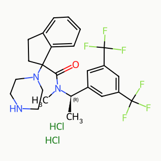 C[C@H](c1cc(C(F)(F)F)cc(C(F)(F)F)c1)N(C)C(=O)C1(N2CCNCC2)CCc2ccccc21.Cl.Cl